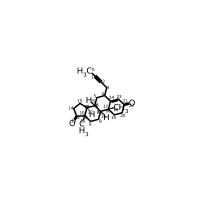 CC#CCC1C[C@@H]2[C@@H](CC[C@]3(C)C(=O)CC[C@@H]23)[C@@]2(C)CCC(=O)C=C12